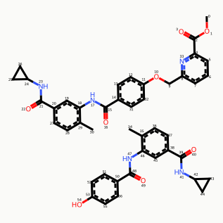 COC(=O)c1cccc(COc2ccc(C(=O)Nc3cc(C(=O)NC4CC4)ccc3C)cc2)n1.Cc1ccc(C(=O)NC2CC2)cc1NC(=O)c1ccc(O)cc1